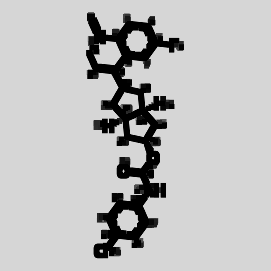 C=Nc1ccc(F)cc1/C(=C\C)[C@H]1C[C@H]2C[C@@H](OC(=O)Nc3ccc(Cl)cc3)C[C@H]2C1